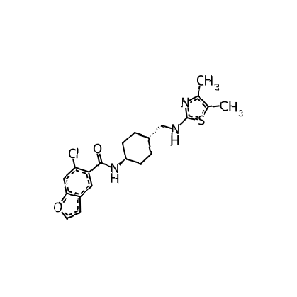 Cc1nc(NC[C@H]2CC[C@H](NC(=O)c3cc4ccoc4cc3Cl)CC2)sc1C